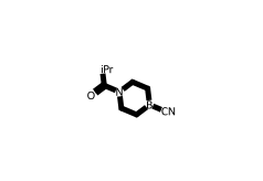 CC(C)C(=O)N1CCB(C#N)CC1